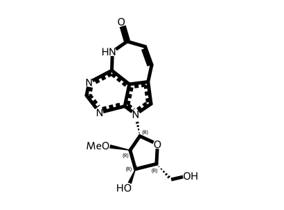 CO[C@@H]1[C@H](O)[C@@H](CO)O[C@H]1n1cc2c3c(ncnc31)NC(=O)C=C2